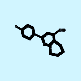 O=[C]c1cc(-c2ccc(F)cc2)nc2ccccc12